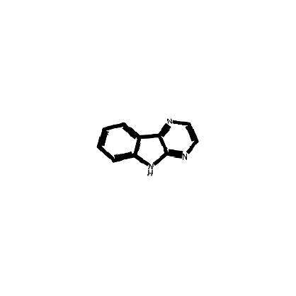 c1ccc2c(c1)[nH]c1nccnc12